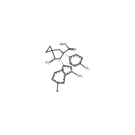 COC(=O)[C@]1(c2ccc(C(F)(F)F)cc2)CC2(CC2)[C@H]([N+](=O)[O-])[C@H]1c1cn(C)c2cc(Br)ccc12